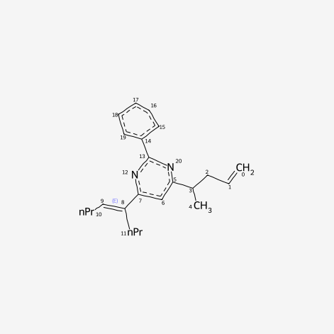 C=CCC(C)c1cc(/C(=C/CCC)CCC)nc(-c2ccccc2)n1